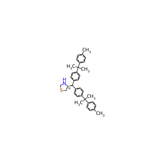 Cc1ccc(C(C)(C)c2ccc(C(c3ccc(C(C)(C)c4ccc(C)cc4)cc3)[C@H]3CSCN3)cc2)cc1